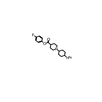 CCCC1CCC(N2CCC(C(=O)Oc3ccc(F)cc3)CC2)CC1